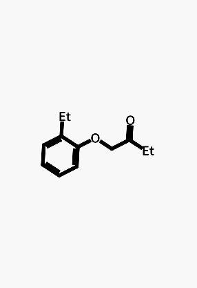 CCC(=O)COc1ccccc1CC